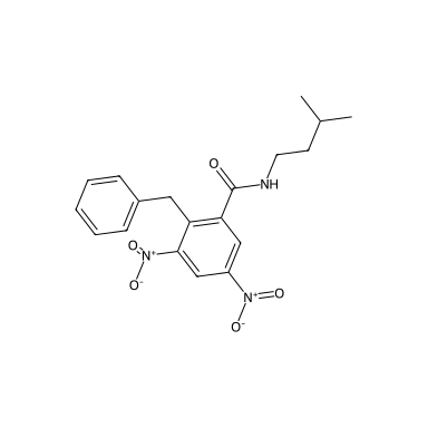 CC(C)CCNC(=O)c1cc([N+](=O)[O-])cc([N+](=O)[O-])c1Cc1ccccc1